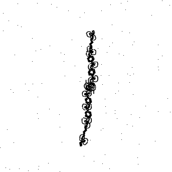 C=CC(=O)OCCCCOC(=O)Oc1ccc(C(=O)Oc2ccc(C(=O)O[C@@H]3CO[C@H]4[C@@H]3OC[C@H]4OC(=O)c3ccc(OC(=O)c4ccc(OC(=O)OCCCCOC(=O)C=C)cc4)cc3)cc2)cc1